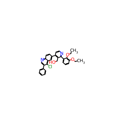 CCOc1cccc(-c2nccc(-c3ccc4ncc(-c5ccccc5)c(Cl)c4c3)c2CO)c1OCC